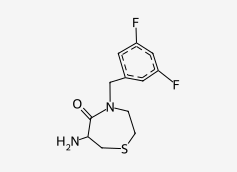 NC1CSCCN(Cc2cc(F)cc(F)c2)C1=O